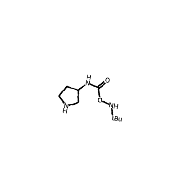 CC(C)(C)NOC(=O)NC1CCNC1